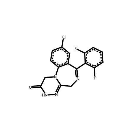 O=C1CN2C(=NN1)CN=C(c1c(F)cccc1F)c1cc(Cl)ccc12